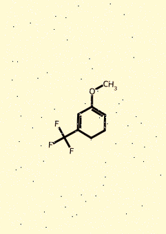 COC1=CC[CH]C(C(F)(F)F)=C1